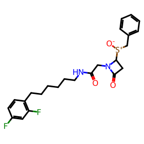 O=C(CN1C(=O)CC1[S+]([O-])Cc1ccccc1)NCCCCCCc1ccc(F)cc1F